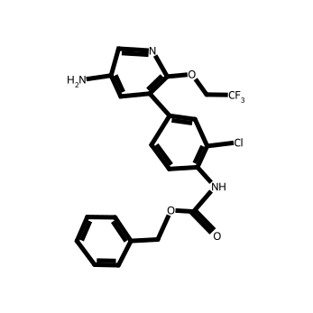 Nc1cnc(OCC(F)(F)F)c(-c2ccc(NC(=O)OCc3ccccc3)c(Cl)c2)c1